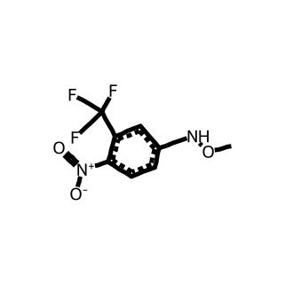 CONc1ccc([N+](=O)[O-])c(C(F)(F)F)c1